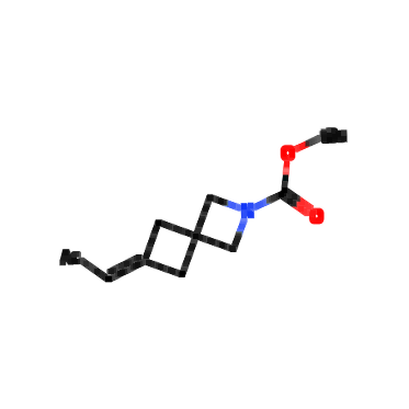 CC(=O)C=C1CC2(C1)CN(C(=O)OC(C)(C)C)C2